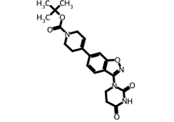 CC(C)(C)OC(=O)N1CC=C(c2ccc3c(N4CCC(=O)NC4=O)noc3c2)CC1